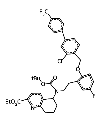 CCOC(=O)c1ccc2c(n1)CCCC2N(CCc1cc(F)ccc1OCc1ccc(-c2ccc(C(F)(F)F)cc2)cc1Cl)C(=O)OC(C)(C)C